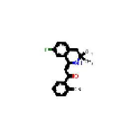 CC1(C)Cc2ccc(F)cc2C(=CC(=O)c2ccccc2C#N)N1